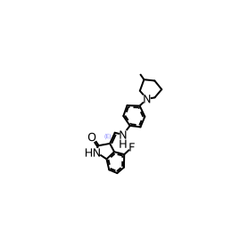 CC1CCCN(c2ccc(N/C=C3/C(=O)Nc4cccc(F)c43)cc2)C1